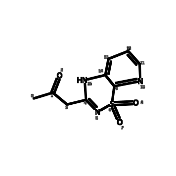 CC(=O)CC1=NS(=O)(=O)c2ncccc2N1